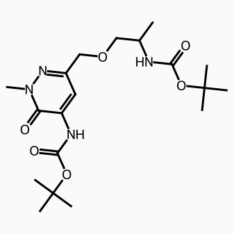 CC(COCc1cc(NC(=O)OC(C)(C)C)c(=O)n(C)n1)NC(=O)OC(C)(C)C